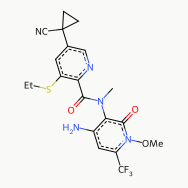 CCSc1cc(C2(C#N)CC2)cnc1C(=O)N(C)c1c(N)cc(C(F)(F)F)n(OC)c1=O